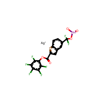 O=C(Oc1c(F)c(F)c(F)c(F)c1F)c1cc2cc(C(F)(F)O[PH](=O)[O-])ccc2s1.[Ag+]